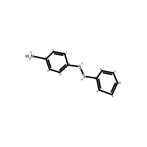 Nc1ccc(SSc2ccccc2)cc1